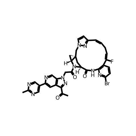 CC(=O)c1nn(CC(=O)N2[C@H]3C[C@]4(C[C@@H]24)Cn2ccc(n2)/C=C\C/C=C(/F)c2ccc(Br)nc2NC3=O)c2cnc(-c3cnc(C)nc3)cc12